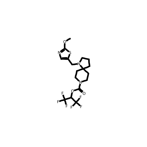 COc1ncc(CN2CCCC23CCN(C(=O)OC(C(F)(F)F)C(F)(F)F)CC3)s1